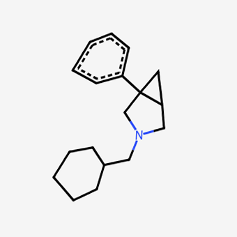 c1ccc(C23CC2CN(CC2CCCCC2)C3)cc1